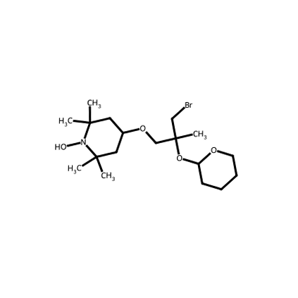 CC(CBr)(COC1CC(C)(C)N(O)C(C)(C)C1)OC1CCCCO1